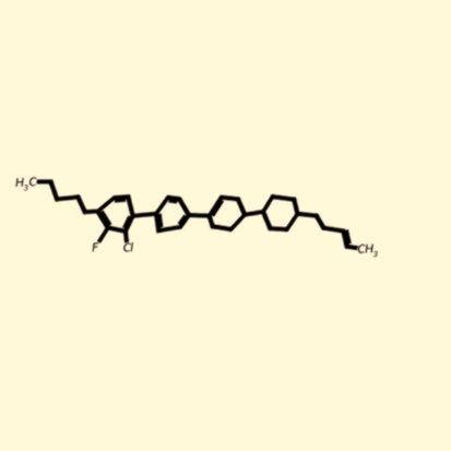 C/C=C/CCC1CCC(C2CC=C(c3ccc(-c4ccc(CCCCC)c(F)c4Cl)cc3)CC2)CC1